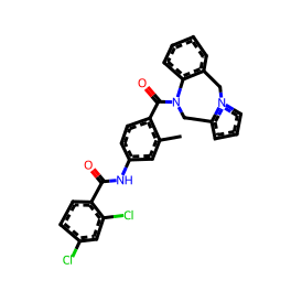 Cc1cc(NC(=O)c2ccc(Cl)cc2Cl)ccc1C(=O)N1Cc2cccn2Cc2ccccc21